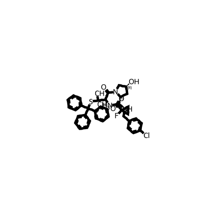 CC(C)(SC(c1ccccc1)(c1ccccc1)c1ccccc1)C(NC(=O)C1(F)CC1)C(=O)N1C[C@H](O)C[C@H]1C(=O)NCc1ccc(Cl)cc1